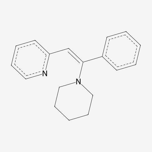 C(=C(c1ccccc1)N1CCCCC1)c1ccccn1